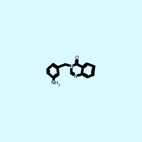 Nc1cccc(Cn2cnc3ccccc3c2=O)c1